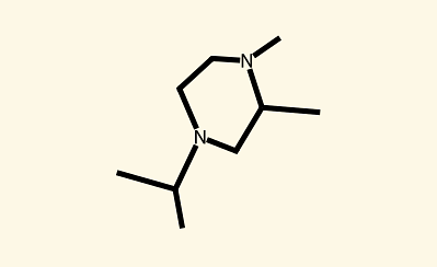 CC1CN(C(C)C)CCN1C